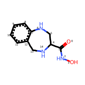 O=C(NO)C1CNc2ccccc2CN1